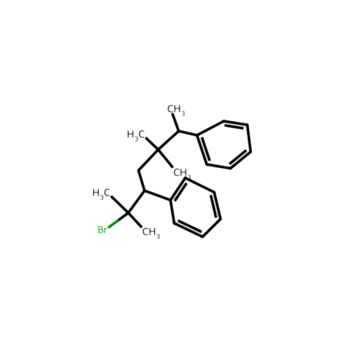 CC(c1ccccc1)C(C)(C)CC(c1ccccc1)C(C)(C)Br